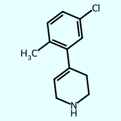 Cc1ccc(Cl)cc1C1=CCNCC1